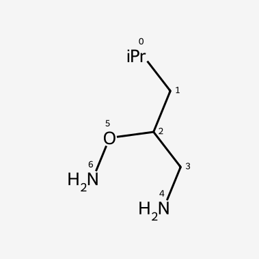 CC(C)CC(CN)ON